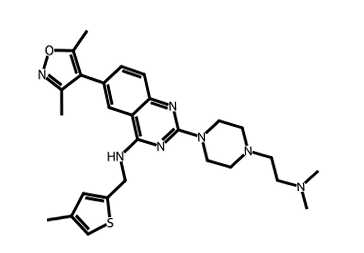 Cc1csc(CNc2nc(N3CCN(CCN(C)C)CC3)nc3ccc(-c4c(C)noc4C)cc23)c1